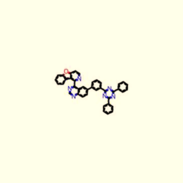 c1ccc(-c2nc(-c3ccccc3)nc(-c3cccc(-c4ccc5ncnc(-c6nccc7oc8ccccc8c67)c5c4)c3)n2)cc1